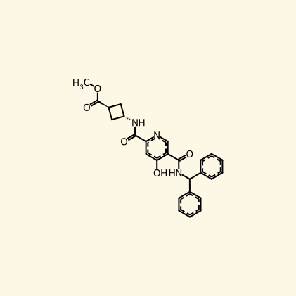 COC(=O)[C@H]1C[C@H](NC(=O)c2cc(O)c(C(=O)NC(c3ccccc3)c3ccccc3)cn2)C1